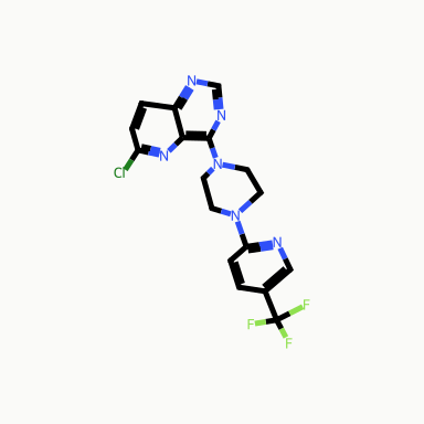 FC(F)(F)c1ccc(N2CCN(c3ncnc4ccc(Cl)nc34)CC2)nc1